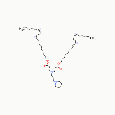 CCCCC/C=C\C/C=C\CCCCCCCCOC(=O)CCN(CCCN1CCCCC1)CCC(=O)OCCCCCCCC/C=C\C/C=C\CCCCC